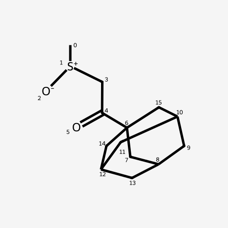 C[S+]([O-])CC(=O)C12CC3CC(CC(C3)C1)C2